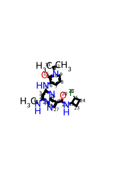 CNc1cc(Nc2cccn(C(C)C)c2=O)nc2c(C(=O)NC3CC[C@H]3F)cnn12